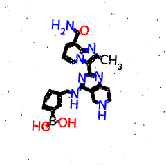 Cc1nc2c(C(N)=O)cccn2c1-c1nc2c(c(NCc3cccc(B(O)O)c3)n1)CNCC2